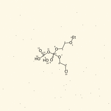 CCOCCOP(=O)(OCCCl)OP(=O)(O)O